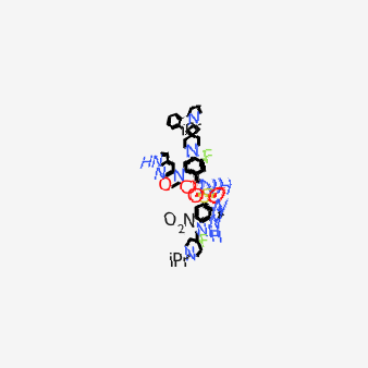 CC(C)c1ccccc1[C@@H]1CCCN1C1CC2(CCN(c3cc(N4CCOc5nc6[nH]ccc6cc54)c(C(=O)NS(=O)(=O)c4cc([N+](=O)[O-])c(NCC5(F)CCN(C(C)C)CC5)c5[nH]cnc45)cc3F)CC2)C1